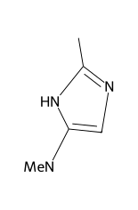 CNc1cnc(C)[nH]1